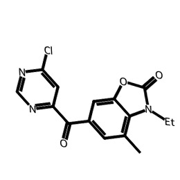 CCn1c(=O)oc2cc(C(=O)c3cc(Cl)ncn3)cc(C)c21